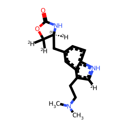 [2H]c1[nH]c2ccc(C[C@]3([2H])NC(=O)OC3([2H])[2H])cc2c1CCN(C)C